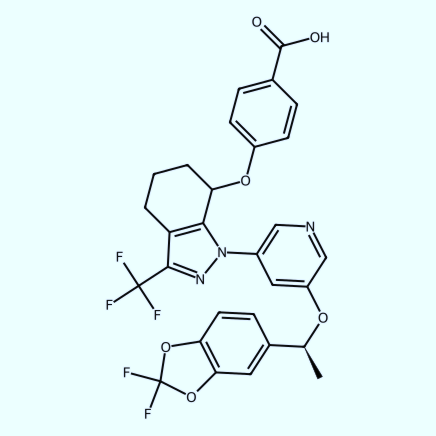 C[C@H](Oc1cncc(-n2nc(C(F)(F)F)c3c2C(Oc2ccc(C(=O)O)cc2)CCC3)c1)c1ccc2c(c1)OC(F)(F)O2